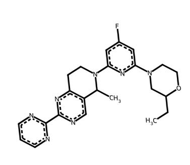 CCC1CN(c2cc(F)cc(N3CCc4nc(-c5ncccn5)ncc4C3C)n2)CCO1